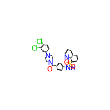 O=C(c1ccc(NS(=O)(=O)c2cccc3cccnc23)cc1)N1CCN(c2ccc(Cl)c(Cl)c2)CC1